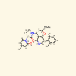 COC(=O)C[C@@H](NC(=O)[C@@H](CC(C)C)n1ccc(C)cc1=O)c1cncc(-c2c(C)cccc2C)c1